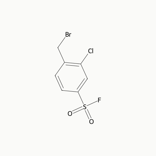 O=S(=O)(F)c1ccc(CBr)c(Cl)c1